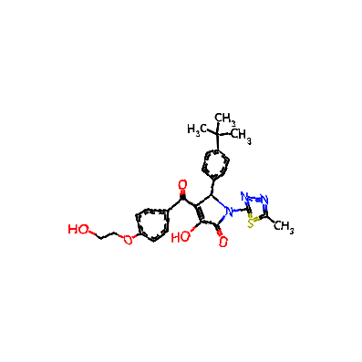 Cc1nnc(N2C(=O)C(O)=C(C(=O)c3ccc(OCCO)cc3)C2c2ccc(C(C)(C)C)cc2)s1